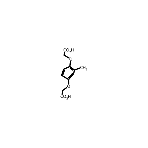 Cc1cc(OCC(=O)O)ccc1OCC(=O)O